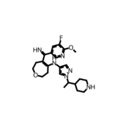 COc1ncc(C(=N)C2=C(Nc3cnn(C(C)C4CCNCC4)c3)CCOCC2)cc1F